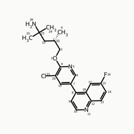 C[C@H](COc1ncc(-c2ccnc3ccc(F)cc23)cc1Cl)CC(C)(C)N